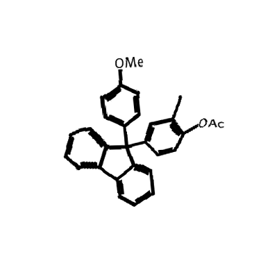 COc1ccc(C2(c3ccc(OC(C)=O)c(C)c3)c3ccccc3-c3ccccc32)cc1